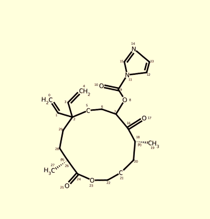 C=CC1(C=C)CCC(OC(=O)n2ccnc2)C(=O)[C@H](C)CCCOC(=O)[C@H](C)CC1